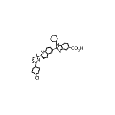 CC1(c2ccc3cc(-c4nc5cc(C(=O)O)ccc5n4C4CCCCC4)ccc3n2)CSC(c2ccc(Cl)cc2)=N1